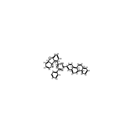 c1ccc(-c2nc(-c3ccc4c(ccc5c6ccccc6ccc45)c3)nc(-c3cccc4oc5cccnc5c34)n2)cc1